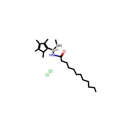 CCCCCCCCCCCC(=O)[NH][Zr+2]([C]1=C(C)C(C)=C(C)C1C)[SiH](C)C.[Cl-].[Cl-]